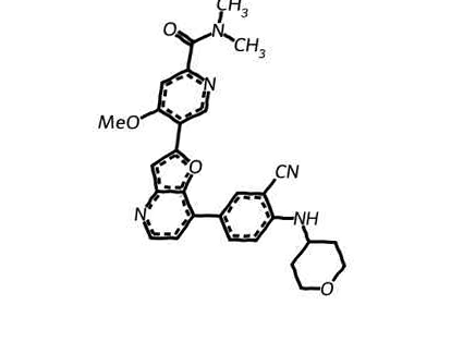 COc1cc(C(=O)N(C)C)ncc1-c1cc2nccc(-c3ccc(NC4CCOCC4)c(C#N)c3)c2o1